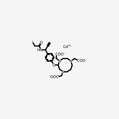 C#CC(NC(=O)CI)c1ccc(OC2CN(CC(=O)[O-])CCCN(CC(=O)[O-])CCN2CC(=O)[O-])cc1.[Gd+3]